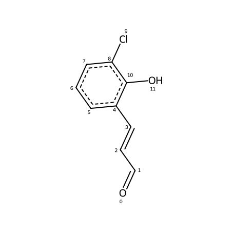 O=C/C=C/c1cccc(Cl)c1O